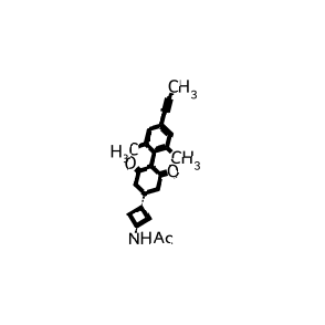 CC#Cc1cc(C)c(C2C(=O)CC([C@H]3C[C@@H](NC(C)=O)C3)CC2=O)c(C)c1